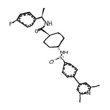 Cc1cc(-c2ccc([S+]([O-])N[C@H]3CC[C@H](C(=O)N[C@H](C)c4ccc(F)cc4)CC3)cc2)cc(C)n1